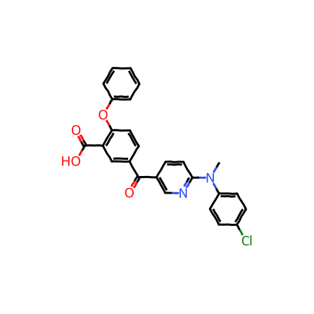 CN(c1ccc(Cl)cc1)c1ccc(C(=O)c2ccc(Oc3ccccc3)c(C(=O)O)c2)cn1